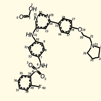 O=CO.O=S(=O)(Nc1ccc(Nc2cc(-c3ccc(OCCN4CCCC4)cc3)ncn2)cc1)c1ccccc1F